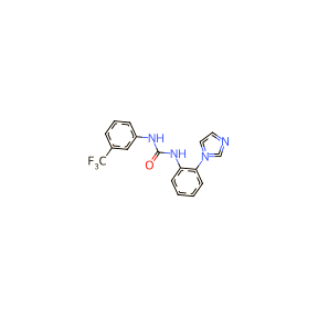 O=C(Nc1cccc(C(F)(F)F)c1)Nc1ccccc1-n1ccnc1